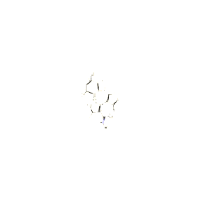 Cc1csc(C)c1-c1c(/C(N)=N/O)c(C)nn1-c1ccc(O)cc1F